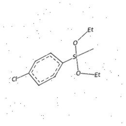 CCO[Si](C)(OCC)c1ccc(Cl)cc1